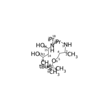 CC(C)NC(C)CCO[Si](C)(C)C(C)(C)C.CC(O)CC(O)NC(C)C